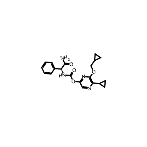 NC(=O)[C@@H](NC(=O)Oc1cnc(C2CC2)c(OCC2CC2)n1)c1ccccc1